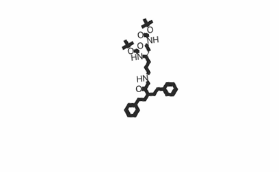 CC(C)(C)OC(=O)NCC[C@H](CCCNCC(=O)C(CCc1ccccc1)CCc1ccccc1)NC(=O)OC(C)(C)C